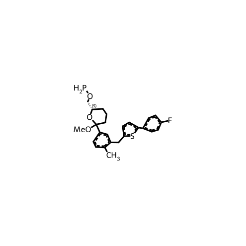 COC1(c2ccc(C)c(Cc3ccc(-c4ccc(F)cc4)s3)c2)CCC[C@@H](COP)O1